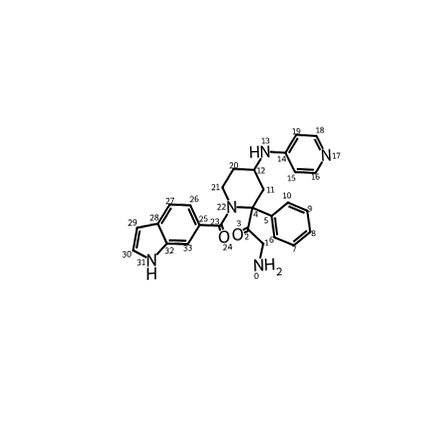 NCC(=O)C1(c2ccccc2)CC(Nc2ccncc2)CCN1C(=O)c1ccc2cc[nH]c2c1